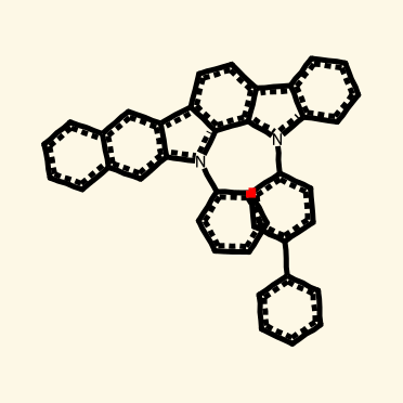 c1ccc(-c2ccc(-n3c4ccccc4c4ccc5c6cc7ccccc7cc6n(-c6ccccc6)c5c43)cc2)cc1